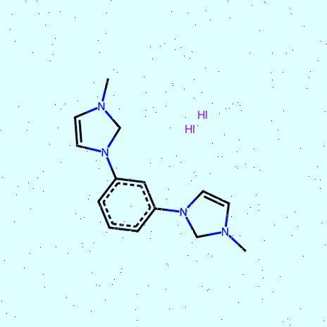 CN1C=CN(c2cccc(N3C=CN(C)C3)c2)C1.I.I